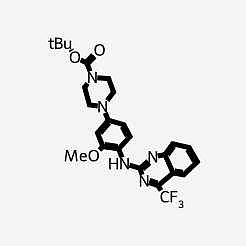 COc1cc(N2CCN(C(=O)OC(C)(C)C)CC2)ccc1Nc1nc(C(F)(F)F)c2ccccc2n1